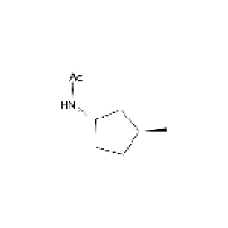 CC(=O)N[C@H]1CC[C@H](C)C1